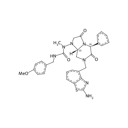 COc1ccc(CNC(=O)N(C)N2CC(=O)N3[C@@H](c4ccccc4)C(=O)N(Cc4cccc5sc(N)nc45)C[C@@H]32)cc1